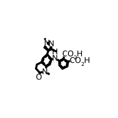 Cc1nn(C)cc1-c1cc2c(cc1Nc1cccc(C(=O)O)c1C(=O)O)N(C)C(=O)CC2